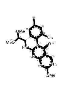 COC(CNc1nc2nc(SC)ncc2c(=O)n1-c1ccc(C)cc1Cl)OC